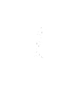 C=Cc1ccc(CCc2ccc(CCc3cccc(C=C)c3)cc2)cc1